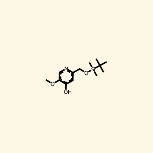 COc1cnc(CO[Si](C)(C)C(C)(C)C)cc1O